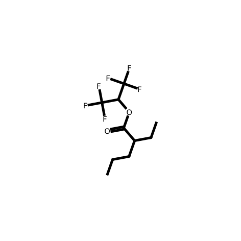 CCCC(CC)C(=O)OC(C(F)(F)F)C(F)(F)F